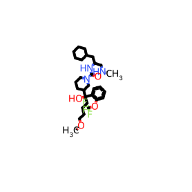 CNCC(CC1CCCCC1)NC(=O)N1CCCC(C(O)(CCCCOC)c2ccccc2OC(F)(F)F)C1